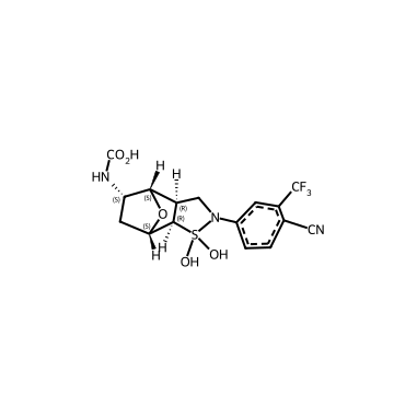 N#Cc1ccc(N2C[C@@H]3[C@@H]4O[C@@H](C[C@@H]4NC(=O)O)[C@@H]3S2(O)O)cc1C(F)(F)F